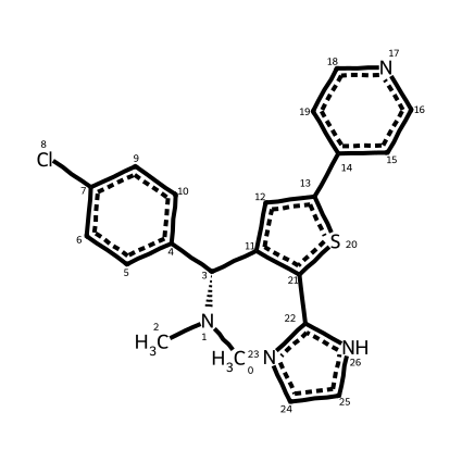 CN(C)[C@H](c1ccc(Cl)cc1)c1cc(-c2ccncc2)sc1-c1ncc[nH]1